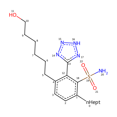 CCCCCCCc1ccc(CCCCCCO)c(-c2nn[nH]n2)c1S(N)(=O)=O